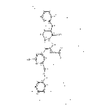 CC(=O)N[C@@H](Cc1cc(F)cc(OCCc2ccncc2)c1)C[C@@H]1NCCN(Cc2ccccc2)C1=O